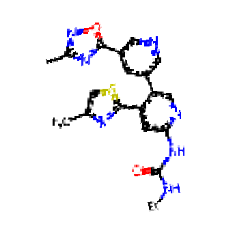 CCNC(=O)Nc1cc(-c2nc(C(F)(F)F)cs2)c(-c2cncc(-c3nc(C)no3)c2)cn1